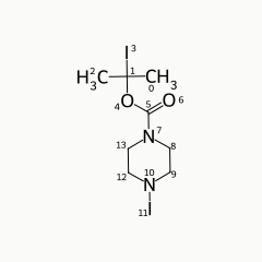 CC(C)(I)OC(=O)N1CCN(I)CC1